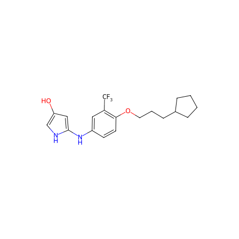 Oc1c[nH]c(Nc2ccc(OCCCC3CCCC3)c(C(F)(F)F)c2)c1